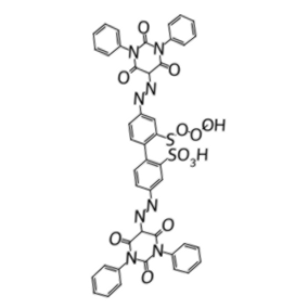 O=C1C(N=Nc2ccc(-c3ccc(N=NC4C(=O)N(c5ccccc5)C(=O)N(c5ccccc5)C4=O)cc3S(=O)(=O)O)c(SOOO)c2)C(=O)N(c2ccccc2)C(=O)N1c1ccccc1